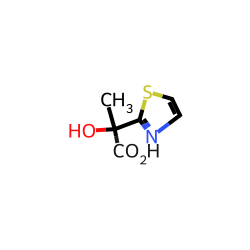 CC(O)(C(=O)O)c1nccs1